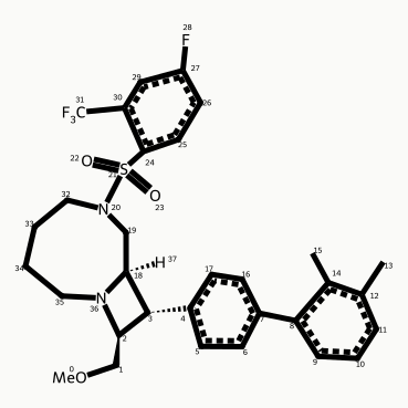 COC[C@@H]1[C@@H](c2ccc(-c3cccc(C)c3C)cc2)[C@@H]2CN(S(=O)(=O)c3ccc(F)cc3C(F)(F)F)CCCCN12